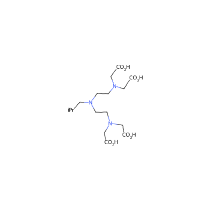 CC(C)CN(CCN(CC(=O)O)CC(=O)O)CCN(CC(=O)O)CC(=O)O